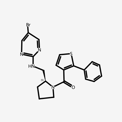 O=C(c1ccsc1-c1ccccc1)N1CCC[C@H]1CNc1ncc(Br)cn1